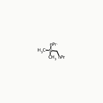 CC[CH][Si](C)(C)CCCC